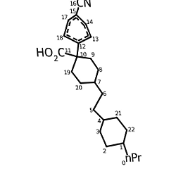 CCCC1CCC(CCC2CCC(C(=O)O)(c3ccc(C#N)cc3)CC2)CC1